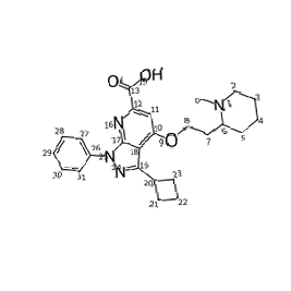 CN1CCCCC1CCOc1cc(C(=O)O)nc2c1c(C1CCC1)nn2-c1ccccc1